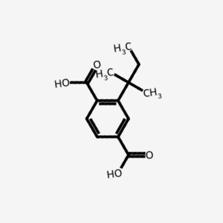 CCC(C)(C)c1cc(C(=O)O)ccc1C(=O)O